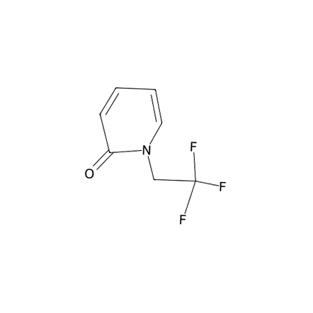 O=c1ccccn1CC(F)(F)F